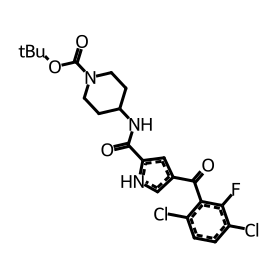 CC(C)(C)OC(=O)N1CCC(NC(=O)c2cc(C(=O)c3c(Cl)ccc(Cl)c3F)c[nH]2)CC1